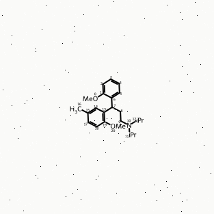 COc1ccccc1C(CCN(C(C)C)C(C)C)c1cc(C)ccc1OC